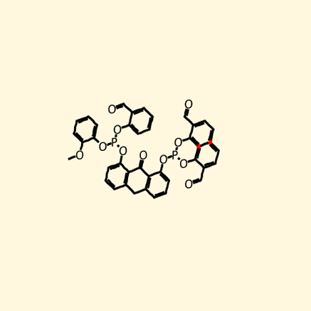 COc1ccccc1OP(Oc1ccccc1C=O)Oc1cccc2c1C(=O)c1c(cccc1OP(Oc1ccccc1C=O)Oc1ccccc1C=O)C2